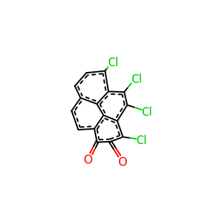 O=c1c(Cl)c2c(Cl)c(Cl)c3c(Cl)ccc4ccc(c1=O)c2c43